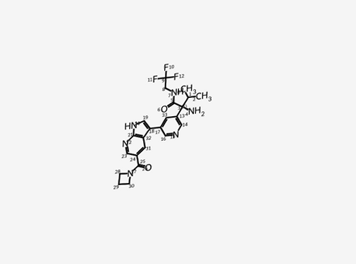 CC(C)[C@@](N)(C(=O)NCC(F)(F)F)c1cncc(-c2c[nH]c3ncc(C(=O)N4CCC4)cc23)c1